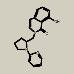 O=c1c2c(O)cccc2ccn1CC1CCCN1c1ccccn1